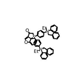 CC[N+](Cc1ccccc1)(c1ccccc1)c1ccc(S2(c3ccc([N+](CC)(Cc4ccccc4)c4ccccc4)cc3)CC(=O)C3=COC4=CC=CCC432)cc1